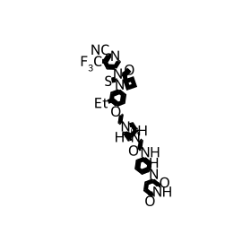 CCc1cc(N2C(=S)N(c3cnc(C#N)c(C(F)(F)F)c3)C(=O)C23CCC3)ccc1OCCN1C[C@@H]2C[C@H]1CN2CC(=O)Nc1cccc(NC2CCC(=O)NC2=O)c1